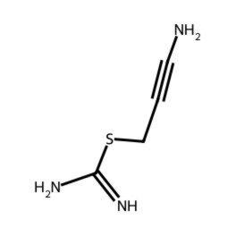 N=C(N)SCC#CN